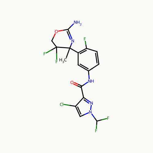 CC1(c2cc(NC(=O)c3nn(C(F)F)cc3Cl)ccc2F)N=C(N)OCC1(F)F